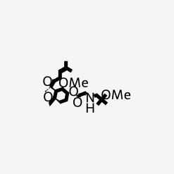 CO[C@@H]1[C@H](OC(=O)CNCC(C)(C)OC)CC[C@]2(CO2)[C@H]1[C@@]1(C)OC1CC=C(C)C